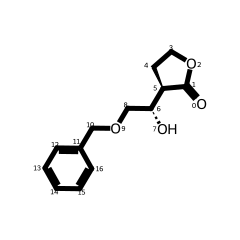 O=C1OCC[C@@H]1[C@H](O)COCc1ccccc1